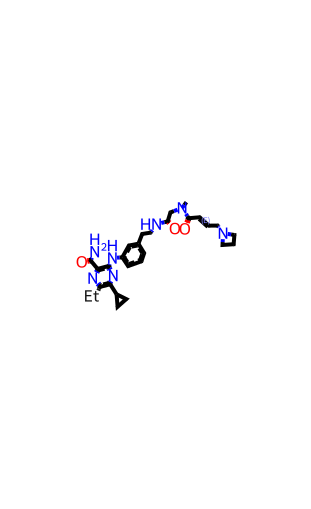 CCc1nc(C(N)=O)c(Nc2cccc(CCNC(=O)CN(C)C(=O)/C=C/CN3CCC3)c2)nc1C1CC1